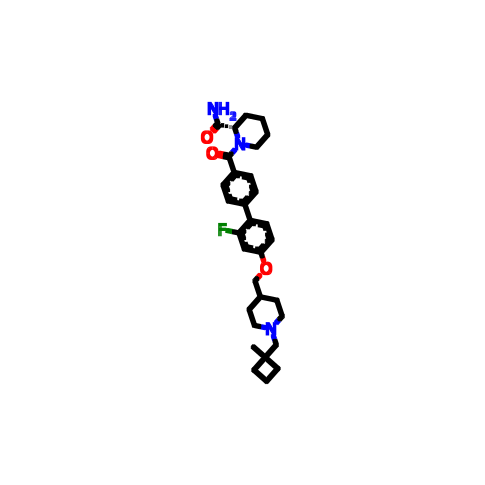 CC1(CN2CCC(COc3ccc(-c4ccc(C(=O)N5CCCC[C@H]5C(N)=O)cc4)c(F)c3)CC2)CCC1